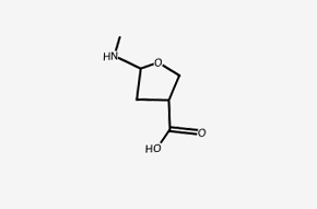 CNC1CC(C(=O)O)CO1